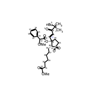 CCCCC(C)(C)C(=O)/C=C/[C@@]1(OC(=O)C(OC)c2ccccc2)CCS(=O)(=O)[C@@H]1CCCCCCC(=O)OC